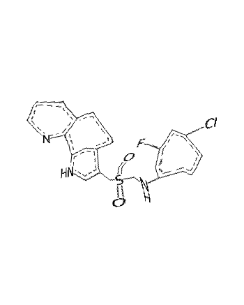 O=S(=O)(Nc1ccc(Cl)cc1F)c1c[nH]c2c1ccc1cccnc12